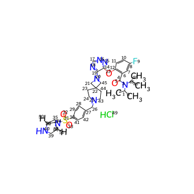 CC(C)N(C(=O)c1cc(F)ccc1Oc1nncnc1N1CC2(CCN(Cc3ccc(S(=O)(=O)N4C[C@@H]5C[C@H]4CN5)cc3)CC2)C1)C(C)C.Cl